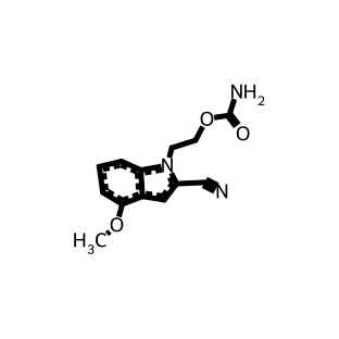 COc1cccc2c1cc(C#N)n2CCOC(N)=O